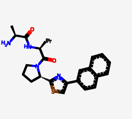 CC(C)[C@H](NC(=O)[C@H](C)N)C(=O)N1CCC[C@H]1c1nc(-c2ccc3ccccc3c2)cs1